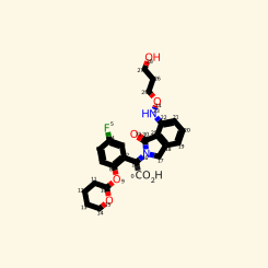 O=C(O)C(c1cc(F)ccc1OC1CCCCO1)N1Cc2cccc(NOCCCO)c2C1=O